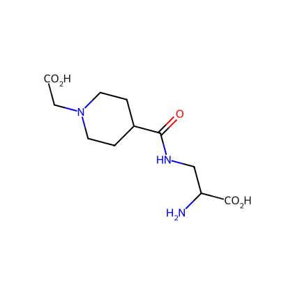 NC(CNC(=O)C1CCN(CC(=O)O)CC1)C(=O)O